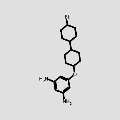 CCC1CCC(C2CCC(Oc3cc(N)cc(N)c3)CC2)CC1